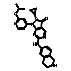 CC(C)Oc1cc(-n2c3nc(Nc4ccc5c(c4)CCNC5)ncc3c(=O)n2C2CC2)ccn1